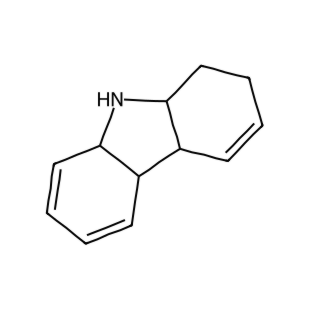 C1=CC2NC3CCC=CC3C2C=C1